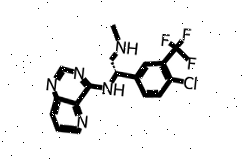 CNC[C@@H](Nc1ncnc2cccnc12)c1ccc(Cl)c(C(F)(F)F)c1